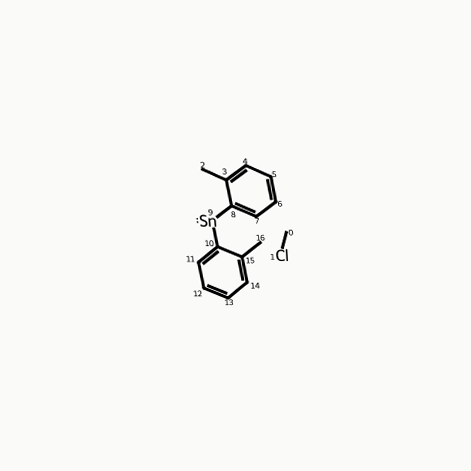 CCl.Cc1cccc[c]1[Sn][c]1ccccc1C